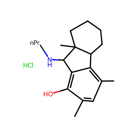 CCCNC1c2c(O)c(C)cc(C)c2C2CCCCC21C.Cl